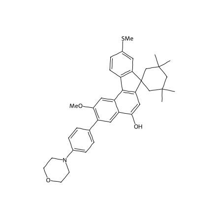 COc1cc2c3c(cc(O)c2cc1-c1ccc(N2CCOCC2)cc1)C1(CC(C)(C)CC(C)(C)C1)c1cc(SC)ccc1-3